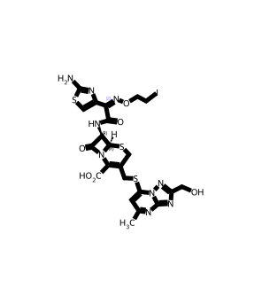 Cc1cc(SCC2=C(C(=O)O)N3C(=O)[C@@H](NC(=O)/C(=N\OCCI)c4csc(N)n4)[C@H]3SC2)n2nc(CO)nc2n1